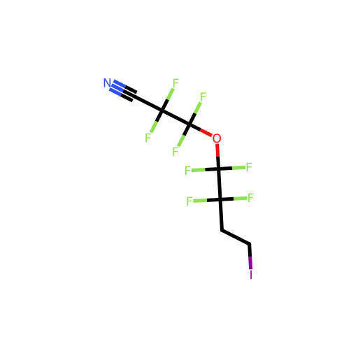 N#CC(F)(F)C(F)(F)OC(F)(F)C(F)(F)CCI